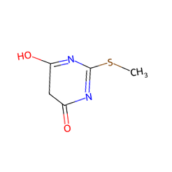 CSC1=NC(=O)CC(O)=N1